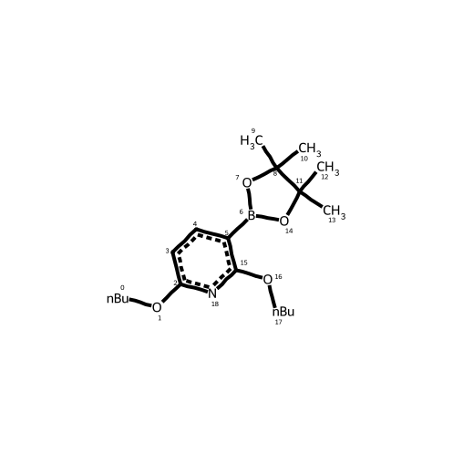 CCCCOc1ccc(B2OC(C)(C)C(C)(C)O2)c(OCCCC)n1